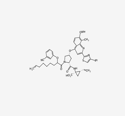 C=CCCCCCC(Oc1cccc(C#N)c1)C(=O)N1C[C@H](Oc2cc(-c3nc(C(C)C)cs3)nc3c(C)c(OC)ccc23)C[C@@H]1C(=O)N[C@]1(C(=O)O)C[C@H]1C=C